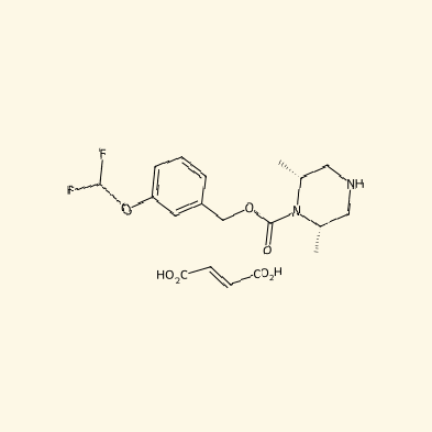 C[C@@H]1CNC[C@H](C)N1C(=O)OCc1cccc(OC(F)F)c1.O=C(O)C=CC(=O)O